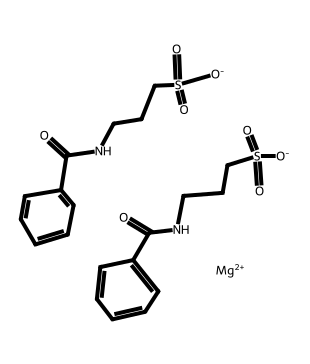 O=C(NCCCS(=O)(=O)[O-])c1ccccc1.O=C(NCCCS(=O)(=O)[O-])c1ccccc1.[Mg+2]